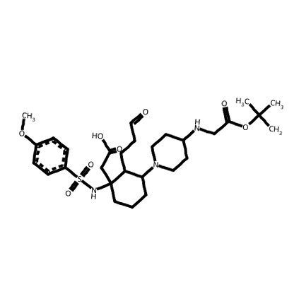 COc1ccc(S(=O)(=O)NC2(CC(=O)O)CCCC(N3CCC(NCC(=O)OC(C)(C)C)CC3)C2CCC=O)cc1